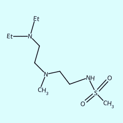 CCN(CC)CCN(C)CCNS(C)(=O)=O